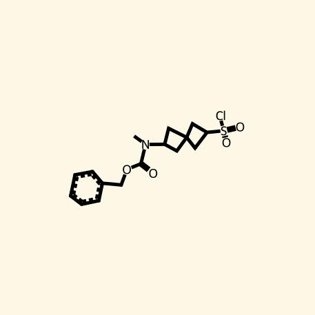 CN(C(=O)OCc1ccccc1)C1CC2(C1)CC(S(=O)(=O)Cl)C2